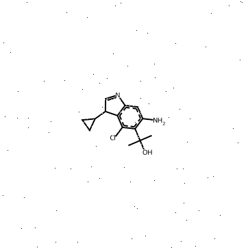 CC(C)(O)c1c(N)cc2c(c1Cl)C(C1CC1)C=N2